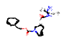 CCOC(=O)[C@@](C)(N)NC(=O)[C@@H]1CCCN(C(=O)OCc2ccccc2)C1